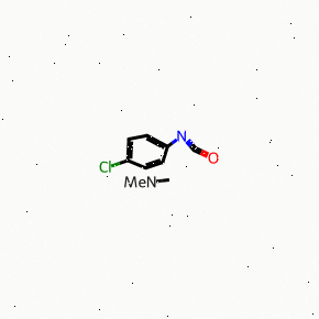 CNC.O=C=Nc1ccc(Cl)cc1